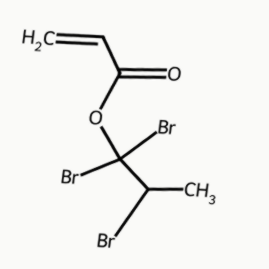 C=CC(=O)OC(Br)(Br)C(C)Br